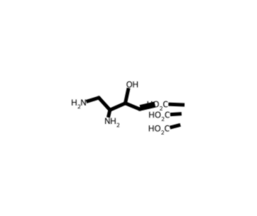 C=CC(O)C(N)CN.CC(=O)O.CC(=O)O.CC(=O)O